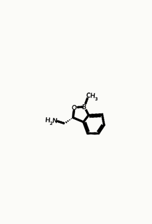 CB1O[C@@H](CN)c2ccccc21